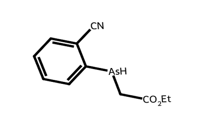 CCOC(=O)C[AsH]c1ccccc1C#N